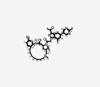 CC(=O)c1nn(CC(=O)N2C3C[C@]34C[C@H]2C(=O)Nc2nc(Br)ccc2CCCCCCCN(C)C4)c2c(C)cc(-c3cnc(C)nc3)cc12